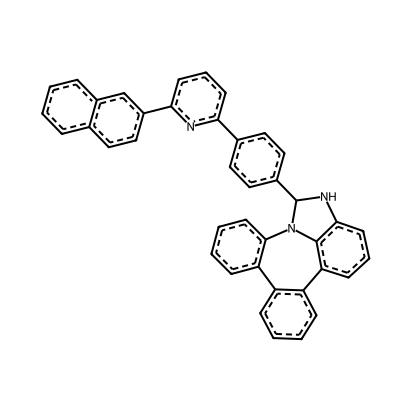 c1cc(-c2ccc(C3Nc4cccc5c4N3c3ccccc3-c3ccccc3-5)cc2)nc(-c2ccc3ccccc3c2)c1